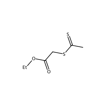 CCOC(=O)CSC(C)=S